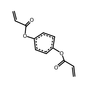 C=CC(=O)Oc1ccc(OC(=O)C=C)cc1